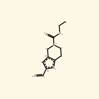 CCOC(=O)N1CCc2sc(C=O)cc2C1